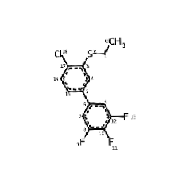 CCSc1cc(-c2cc(F)c(F)c(F)c2)ccc1Cl